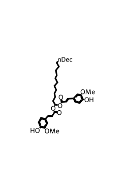 CCCCCCCCCCCCCCCCCCCCCC(OC(=O)C=Cc1ccc(O)c(OC)c1)OC(=O)C=Cc1ccc(O)c(OC)c1